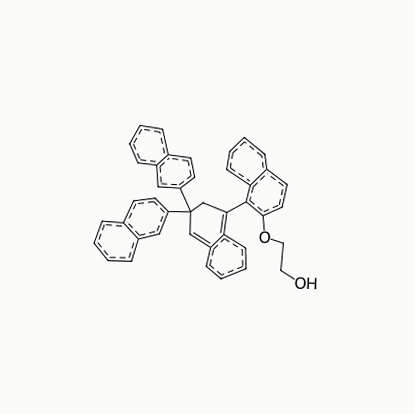 OCCOc1ccc2ccccc2c1C1=c2ccccc2=CC(c2ccc3ccccc3c2)(c2ccc3ccccc3c2)C1